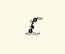 O=C(/C=C/c1ccc(-c2ccc(O)c(C(=O)O)c2)o1)c1ccc(CO)cc1